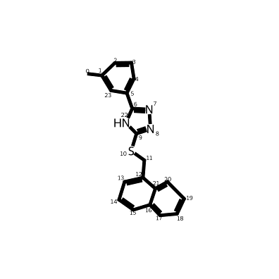 Cc1cccc(-c2nnc(SCc3cccc4ccccc34)[nH]2)c1